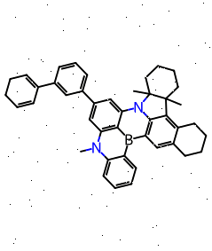 CN1c2ccccc2B2c3cc4c(c5c3N(c3cc(-c6cccc(C7=CCCC=C7)c6)cc1c32)C1(C)CCCCC51C)CCCC4